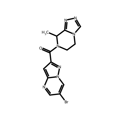 CC1c2nncn2CCN1C(=O)c1cc2ncc(Br)cn2n1